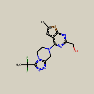 CCc1cc2c(N3CCn4c(nnc4C(C)(F)F)C3)nc(CO)nc2s1